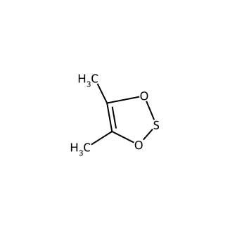 CC1=C(C)OSO1